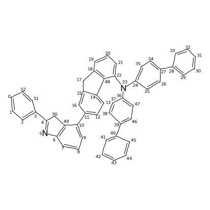 c1ccc(C2=Nc3cccc(-c4ccc5c(c4)Cc4cccc(N(c6ccc(-c7ccccc7)cc6)c6ccc(-c7ccccc7)cc6)c4-5)c3C2)cc1